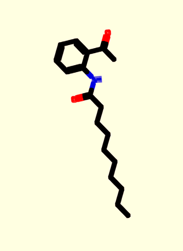 CCCCCCCCCC(=O)Nc1ccccc1C(C)=O